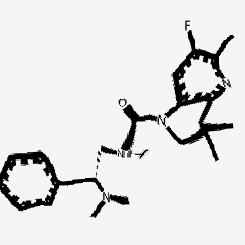 Cc1nc2c(cc1F)N(C(=O)NC[C@@H](c1ccccc1)N(C)C)CC2(C)C